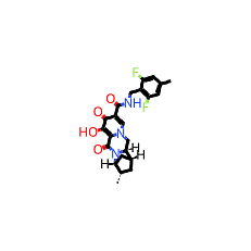 Cc1cc(F)c(CNC(=O)c2cn3c(c(O)c2=O)C(=O)N2[C@@H]4C[C@@H](C[C@@H]4C)[C@@H]2C3)c(F)c1